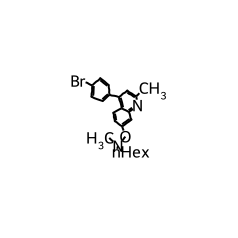 CCCCCCN(C)Oc1ccc2c(-c3ccc(Br)cc3)cc(C)nc2c1